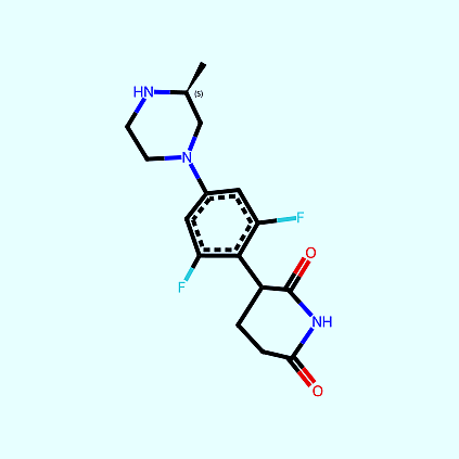 C[C@H]1CN(c2cc(F)c(C3CCC(=O)NC3=O)c(F)c2)CCN1